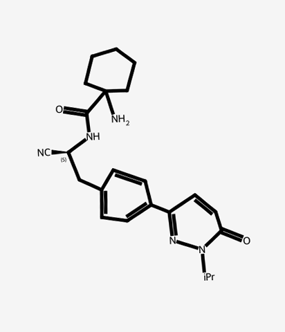 CC(C)n1nc(-c2ccc(C[C@@H](C#N)NC(=O)C3(N)CCCCC3)cc2)ccc1=O